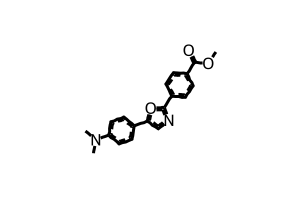 COC(=O)c1ccc(-c2ncc(-c3ccc(N(C)C)cc3)o2)cc1